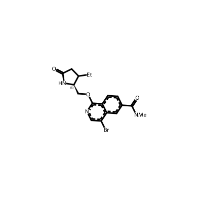 CCC1CC(=O)N[C@@H]1COc1ncc(Br)c2cc(C(=O)NC)ccc12